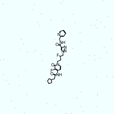 O=C(CC1CCCC1)Nc1ccn(CCC(F)Cn2cc(C(=O)NCc3ccccn3)nn2)c(=O)c1F